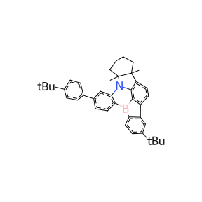 CC(C)(C)c1ccc(-c2ccc3c(c2)N2c4c(ccc5c4B3c3ccc(C(C)(C)C)cc3-5)C3(C)CCCCC23C)cc1